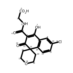 O=C(O)CNC(=O)C1=C(O)c2cc(Cl)ccc2C2(CCOCC2)C1=O